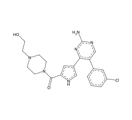 Nc1ncc(-c2cccc(Cl)c2)c(-c2c[nH]c(C(=O)N3CCN(CCO)CC3)c2)n1